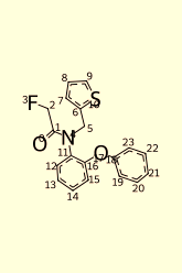 O=C(CF)N(Cc1cccs1)c1ccccc1Oc1ccccc1